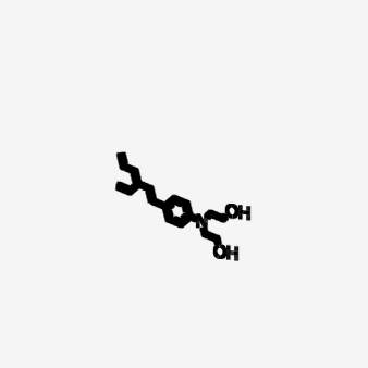 C=C/C=C(C=C)/C=C/c1ccc(N(CCO)CCO)cc1